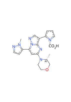 C[C@@H]1COCCN1c1cc(-c2ccnn2C)n2ncc(-c3cccn3C(=O)O)c2n1